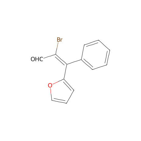 O=CC(Br)=C(c1ccccc1)c1ccco1